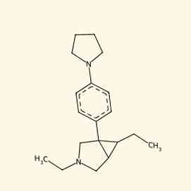 CCC1C2CN(CC)CC12c1ccc(N2CCCC2)cc1